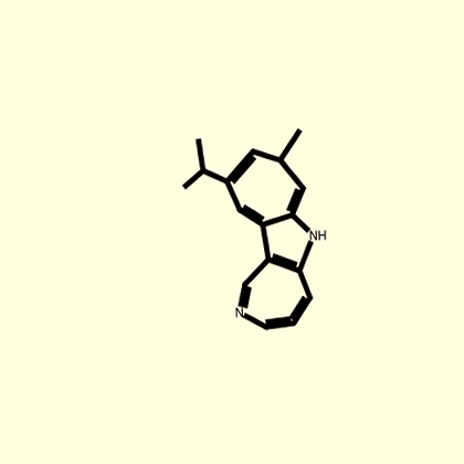 CC1C=C(C(C)C)C=c2c3c([nH]c2=C1)C=C=CN=C3